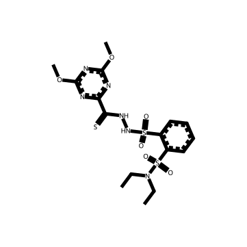 CCN(CC)S(=O)(=O)c1ccccc1S(=O)(=O)NNC(=S)c1nc(OC)nc(OC)n1